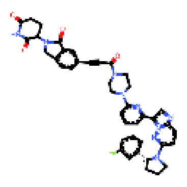 O=C1CCC(N2Cc3ccc(C#CC(=O)N4CCN(c5cccc(-c6cnc7ccc(N8CCC[C@@H]8c8cccc(F)c8)nn67)n5)CC4)cc3C2=O)C(=O)N1